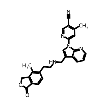 Cc1cc(-n2cc(CNCCc3ccc4c(c3C)COC4=O)c3cccnc32)ncc1C#N